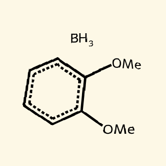 B.COc1ccccc1OC